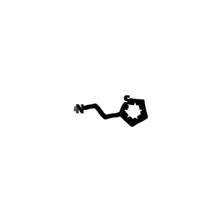 [N]CCc1cccs1